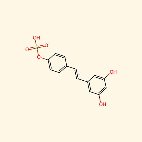 O=S(=O)(O)Oc1ccc(/C=C/c2cc(O)cc(O)c2)cc1